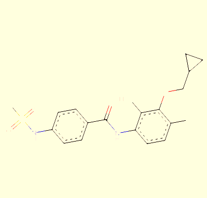 Cc1ccc(NC(=O)c2ccc(NS(=O)(=O)C(C)C)cc2)c(C)c1OCC1CC1